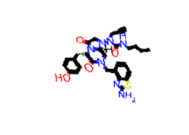 C#CCN(C(=O)NCCCC)N1CC(=O)N2[C@@H](Cc3ccc(O)cc3)C(=O)N(Cc3cccc4sc(N)nc34)C[C@@H]21